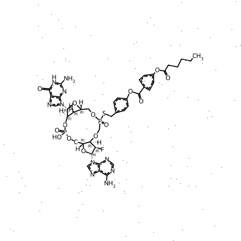 CCCCCC(=O)Oc1ccc(C(=O)Oc2ccc(CSP3(=O)CO[C@H]4[C@@H](F)[C@H](n5cnc6c(N)ncnc65)O[C@@H]4COP(=O)(O)O[C@@H]4[C@H](F)[C@@H](CO3)O[C@H]4n3cnc4c(=O)[nH]c(N)nc43)cc2)cc1